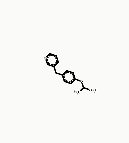 CC(Oc1ccc(Cc2cccnc2)cc1)C(=O)O